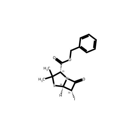 CC1(C)S[C@@H]2[C@@H](I)C(=O)N2[C@H]1C(=O)OCc1ccccc1